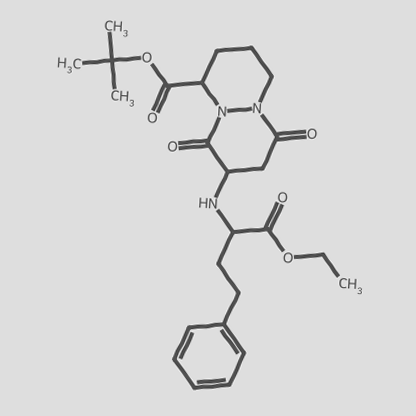 CCOC(=O)C(CCc1ccccc1)NC1CC(=O)N2CCCC(C(=O)OC(C)(C)C)N2C1=O